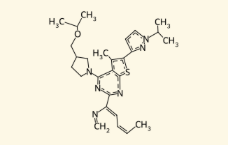 C=N/C(=C\C=C/C)c1nc(N2CCC(COC(C)C)C2)c2c(C)c(-c3ccn(C(C)C)n3)sc2n1